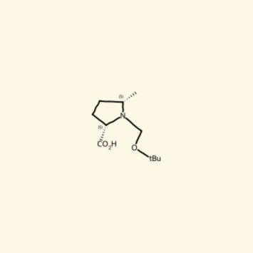 C[C@H]1CC[C@@H](C(=O)O)N1COC(C)(C)C